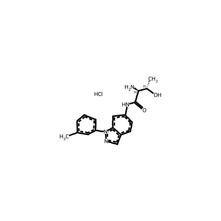 Cc1cccc(-n2ncc3ccc(NC(=O)[C@@H](N)[C@H](C)O)cc32)c1.Cl